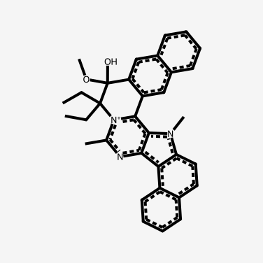 CCC1(CC)[n+]2c(C)nc3c4c5ccccc5ccc4n(C)c3c2-c2cc3ccccc3cc2C1(O)OC